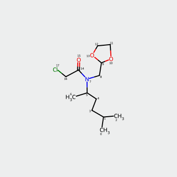 CC(C)CCC(C)N(CC1OCCO1)C(=O)CCl